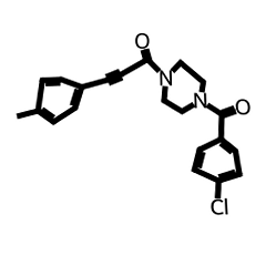 Cc1ccc(C#CC(=O)N2CCN(C(=O)c3ccc(Cl)cc3)CC2)cc1